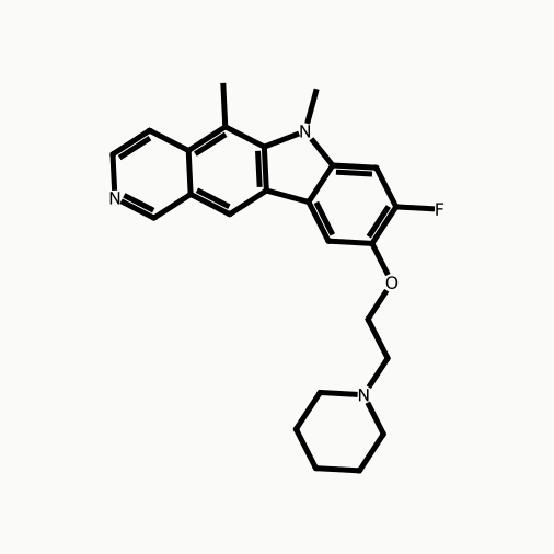 Cc1c2ccncc2cc2c3cc(OCCN4CCCCC4)c(F)cc3n(C)c12